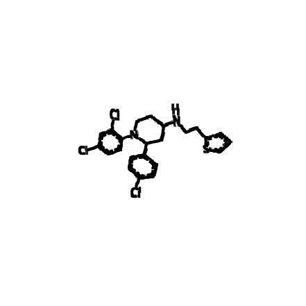 Clc1ccc(C2CC(NCCc3cccs3)CCN2c2ccc(Cl)cc2Cl)cc1